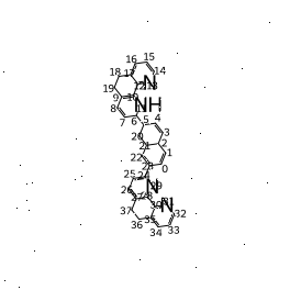 C1=CC2C=CC(C3C=CC4=C(N3)c3ncccc3CC4)CC2C=C1c1ccc2c(n1)-c1ncccc1CC2